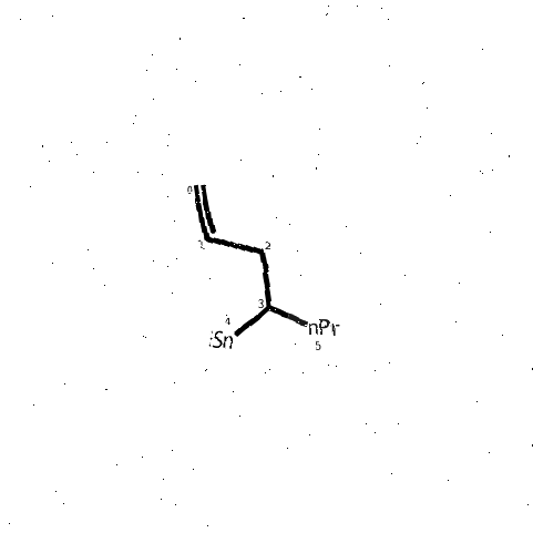 C=CC[CH]([Sn])CCC